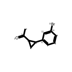 CC(=O)C1CC1c1cccc(Br)c1